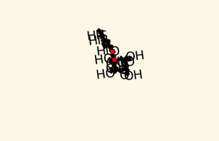 CCNC(=S)Nc1ccc(CNC(=O)CCC(C(=O)O)N2CCN(CC(=O)O)CCN(CC(=O)O)CCN(CC(=O)O)CC2)cc1